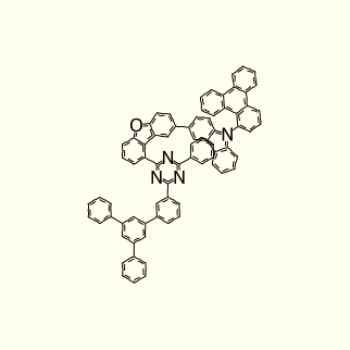 c1ccc(-c2cc(-c3ccccc3)cc(-c3cccc(-c4nc(-c5ccccc5)nc(-c5cccc6oc7ccc(-c8ccc9c(c8)c8ccccc8n9-c8cccc9c%10ccccc%10c%10ccccc%10c89)cc7c56)n4)c3)c2)cc1